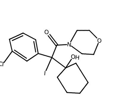 O=C(N1CCOCC1)C(I)(c1cccc(Cl)c1)C1(O)CCCCC1